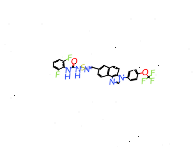 O=C(NS/N=C/c1ccc2c(ccc3c2ncn3-c2ccc(OC(F)(F)F)cc2)c1)Nc1c(F)cccc1F